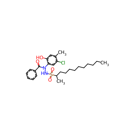 CCCCCCCCCCC(C)S(=O)(=O)NN(C(=O)c1ccccc1)c1cc(Cl)c(C)cc1O